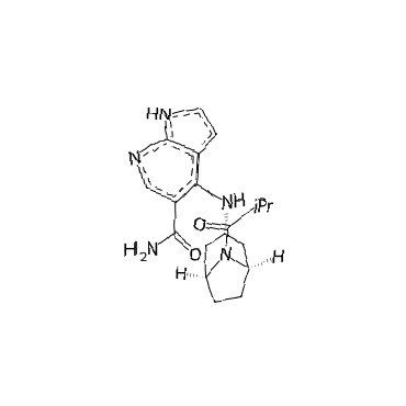 CC(C)C(=O)N1[C@@H]2CC[C@H]1C[C@H](Nc1c(C(N)=O)cnc3[nH]ccc13)C2